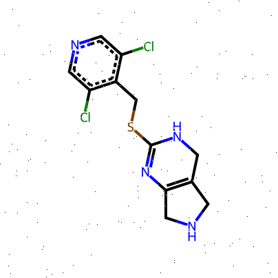 Clc1cncc(Cl)c1CSC1=NC2=C(CNC2)CN1